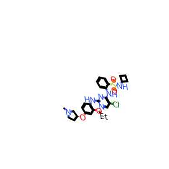 CCOc1cc(O[C@@H]2CCN(C)C2)ccc1Nc1ncc(Cl)c(Nc2ccccc2S(=O)(=O)NC2CCC2)n1